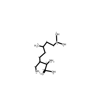 CC(CCB(O)O)CCC(CN)C(N)C(=O)O